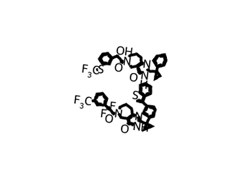 O=C(C(O)c1cccc(SC(F)(F)F)c1)N1CCCc2nc(C3(c4ccccc4)CC3)[nH]c(=O)c2C1.O=C(N1CCCc2nc(C3(c4cccc(-c5csc6ccccc56)c4)CC3)[nH]c(=O)c2C1)C(F)(F)c1cccc(C(F)(F)F)c1